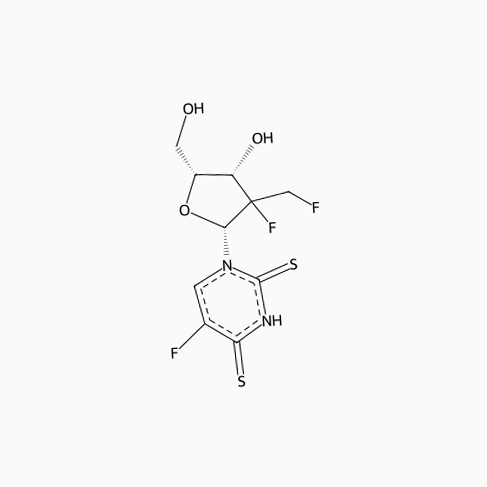 OC[C@H]1O[C@@H](n2cc(F)c(=S)[nH]c2=S)C(F)(CF)[C@H]1O